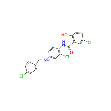 O=C(Nc1ccc(NCc2ccc(Cl)cc2)cc1Cl)c1cc(Cl)ccc1O